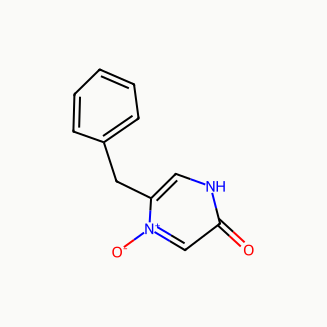 O=c1c[n+]([O-])c(Cc2ccccc2)c[nH]1